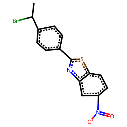 CC(Br)c1ccc(-c2nc3cc([N+](=O)[O-])ccc3s2)cc1